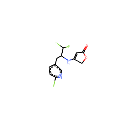 O=C1C=C(NC(Cc2ccc(F)nc2)C(F)F)CO1